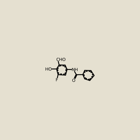 O=Cc1cc(NC(=O)c2ccccc2)cc(F)c1O